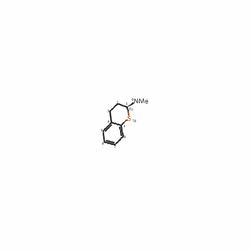 CN[C@@H]1CCc2ccccc2S1